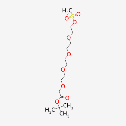 CC(C)(C)OC(=O)COCCOCCOCCOCCOS(C)(=O)=O